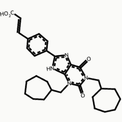 O=C(O)C=Cc1ccc(-c2nc3c(=O)n(CC4CCCCCC4)c(=O)n(CC4CCCCCC4)c3[nH]2)cc1